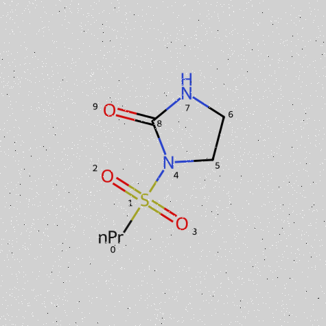 [CH2]CCS(=O)(=O)N1CCNC1=O